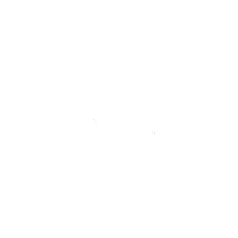 CN1CCCC1C(=O)Sc1ccccn1